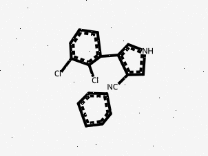 N#Cc1c[nH]cc1-c1cccc(Cl)c1Cl.c1ccccc1